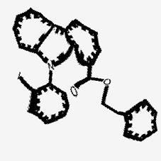 O=C(OCc1ccccc1)c1cccc2c3ccccc3n(-c3ccccc3I)c12